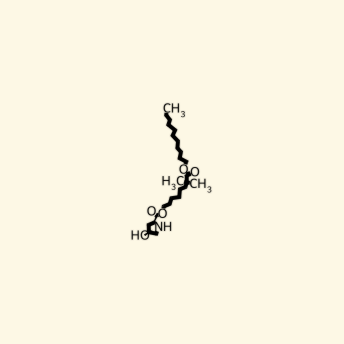 CCCCCCCCCCCOC(=O)C(C)(C)CCCCCCOC(=O)[C@@H]1C[C@H](O)CN1